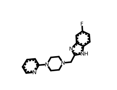 Fc1ccc2[nH]c(CN3CCN(c4ccccn4)CC3)nc2c1